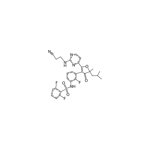 CC(C)CC1(C)OC(c2ccnc(NCCC#N)n2)=C(c2cccc(NS(=O)(=O)c3c(F)cccc3F)c2F)C1=O